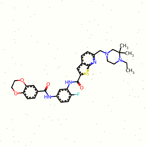 CCN1CCN(Cc2ccc3cc(C(=O)Nc4cc(NC(=O)c5ccc6c(c5)OCCO6)ccc4F)sc3n2)CC1(C)C